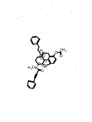 CC(=O)Oc1ccc2c3c1C[C@@H]1[C@@H]4CC[C@@H](N(C)C(=O)C#Cc5ccccc5)[C@H](O2)[C@]34CCN1CCc1ccccc1